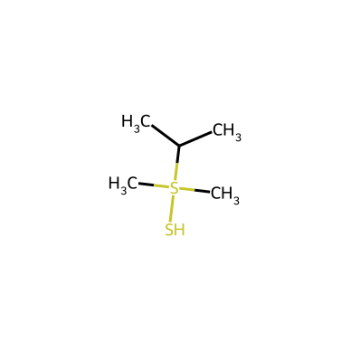 CC(C)S(C)(C)S